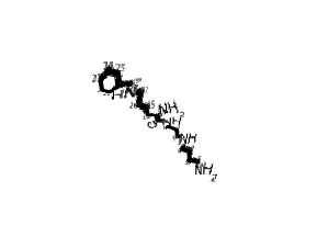 NCCCCNCCCNC(=O)[C@@H](N)CCCCNCC1CCCCC1